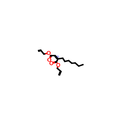 C=CCOC(=O)/C=C(/CCCCCCC)C(=O)OCC=C